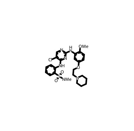 CNS(=O)(=O)c1ccccc1Nc1nc(Nc2cc(OCCN3CCCCC3)ccc2OC)ncc1Cl